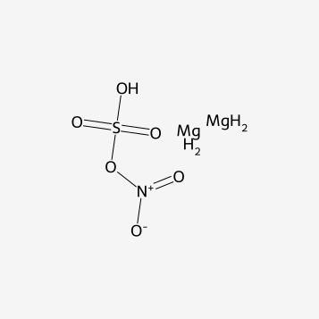 O=[N+]([O-])OS(=O)(=O)O.[MgH2].[MgH2]